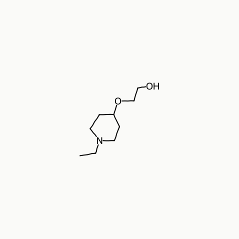 CCN1CCC(OCCO)CC1